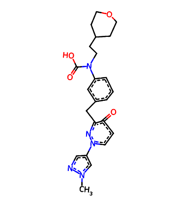 Cn1cc(-n2ccc(=O)c(Cc3cccc(N(CCC4CCOCC4)C(=O)O)c3)n2)cn1